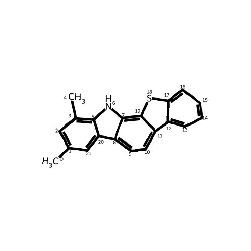 Cc1cc(C)c2[nH]c3c(ccc4c5ccccc5sc43)c2c1